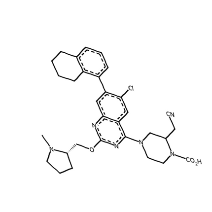 CN1CCC[C@H]1COc1nc(N2CCN(C(=O)O)C(CC#N)C2)c2cc(Cl)c(-c3cccc4c3CCCC4)cc2n1